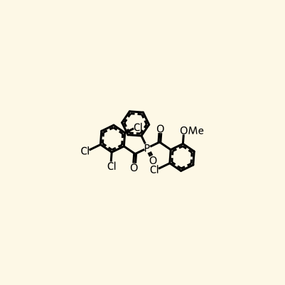 COc1cccc(Cl)c1C(=O)P(=O)(C(=O)c1c(Cl)ccc(Cl)c1Cl)c1ccccc1